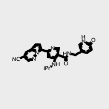 CC(C)Nc1cc(-c2ccc3cc(C#N)cnn23)ncc1C(=O)NCc1ccc(=O)[nH]c1